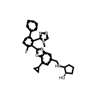 Cn1cnnc1-c1c(-c2ccccc2)ccc(F)c1-c1nc2cc(CNC3CCC[C@H]3O)cc(C3CC3)c2o1